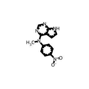 CN(c1ccc([N+](=O)[O-])cc1)c1ncnc2[nH]ccc12